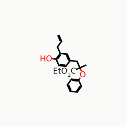 C=CCc1cc(CC(C)(Oc2ccccc2)C(=O)OCC)ccc1O